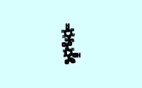 CC(C)(OC(=O)c1ccc([N+](=O)[O-])c(O)c1)C1CCNCC1